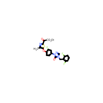 CCOC(=O)C(=O)c1nc(C)c(Oc2ccc(-n3ncn(Cc4c(F)cccc4F)c3=O)cc2F)s1